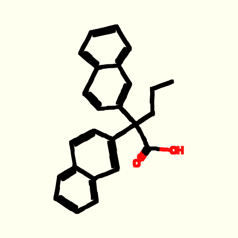 CCCC(C(=O)O)(c1ccc2ccccc2c1)c1ccc2ccccc2c1